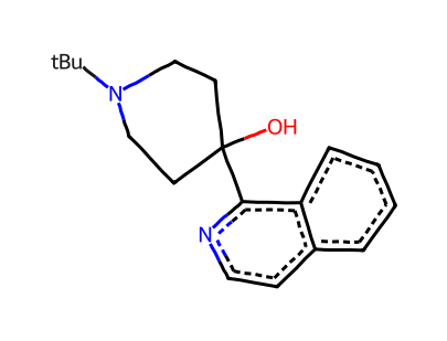 CC(C)(C)N1CCC(O)(c2nccc3ccccc23)CC1